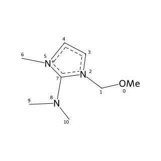 COCn1cc[n+](C)c1N(C)C